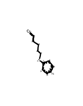 O=CCCCCSc1ccccc1